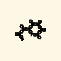 Fc1ccc(N(c2ccccc2)c2ccc(N(c3ccccc3)c3ccc(N(c4ccccc4)c4ccc(N(c5ccccc5)c5ccc(N(c6ccccc6)c6ccc(N(c7ccccc7)c7ccc(N(c8ccccc8)c8ccc(F)cc8)cc7)cc6)cc5)cc4)cc3)cc2)cc1